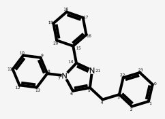 c1ccc(Cc2cn(-c3ccccc3)c(-c3ccccc3)n2)cc1